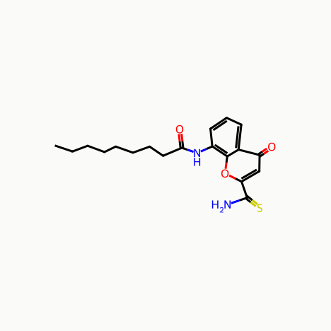 CCCCCCCCC(=O)Nc1cccc2c(=O)cc(C(N)=S)oc12